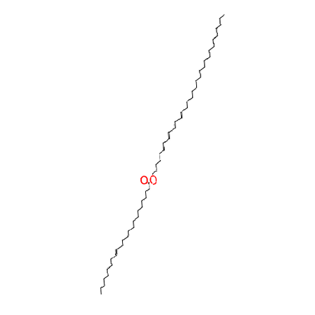 CCCCCCCCC=CCCCCCCCCCCCCCC(=O)OCCCCCCCCCCCCCCCCCCCCCCCCCCCCCCCC